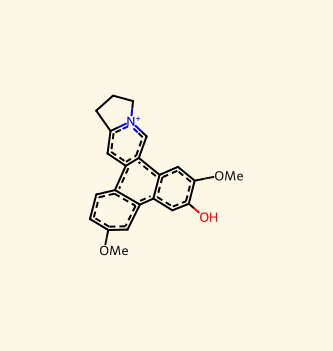 COc1ccc2c(c1)c1cc(O)c(OC)cc1c1c[n+]3c(cc21)CCC3